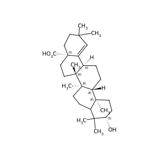 CC1(C)C=C2[C@H]3CC[C@@H]4[C@@]5(C)CC[C@H](O)C(C)(C)C5CC[C@@]4(C)[C@]3(C)CC[C@@]2(C(=O)O)CC1